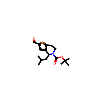 CC(C)CC1c2cc(C=O)sc2CCN1C(=O)OC(C)(C)C